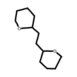 C1CCC(CCC2CCCCO2)OC1